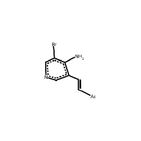 CC(=O)C=Cc1cncc(Br)c1N